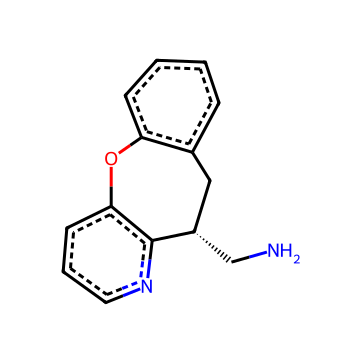 NC[C@H]1Cc2ccccc2Oc2cccnc21